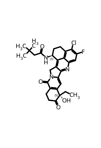 CC[C@@]1(O)C(=O)CCc2c1cc1n(c2=O)Cc2c-1nc1cc(F)c(Cl)c3c1c2[C@@H](NC(=O)CC(C)(C)C)CC3